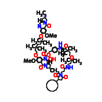 C=C1C[C@H]2[C@H](O)N(C(=O)OCc3ccc(NBC(=O)C(C)(C)CCOC(C)(C)CCNC(=O)CCN4C(=O)CC(C5CCCCCCCCCCC5)C4=O)cc3)c3cc(OCCC(C)(C)CCC(C)(C)COc4cc5c(cc4OC)C(=O)N4C/C(=C/C)C[C@H]4C=N5)c(OC)cc3C(=O)N2C1